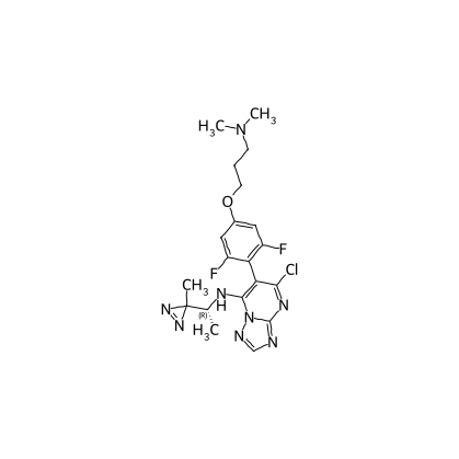 C[C@@H](Nc1c(-c2c(F)cc(OCCCN(C)C)cc2F)c(Cl)nc2ncnn12)C1(C)N=N1